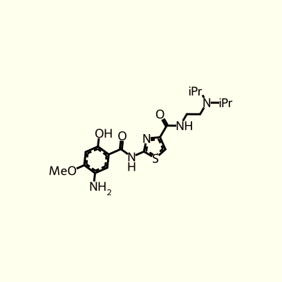 COc1cc(O)c(C(=O)Nc2nc(C(=O)NCCN(C(C)C)C(C)C)cs2)cc1N